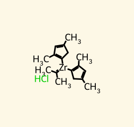 CC1=CC(C)=[C]([Zr]([C]2=C(C)C=C(C)C2)=[C](C)C)C1.Cl